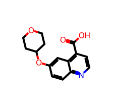 O=C(O)c1ccnc2ccc(OC3CCOCC3)cc12